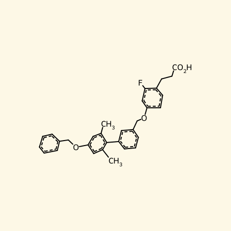 Cc1cc(OCc2ccccc2)cc(C)c1-c1cccc(COc2ccc(CCC(=O)O)c(F)c2)c1